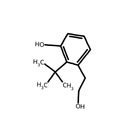 CC(C)(C)c1c(O)cccc1CCO